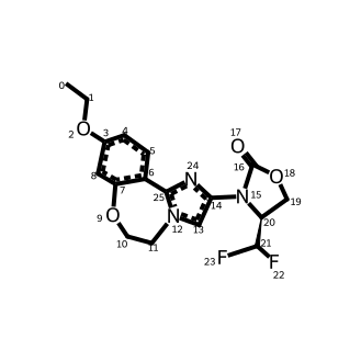 CCOc1ccc2c(c1)OCCn1cc(N3C(=O)OC[C@H]3C(F)F)nc1-2